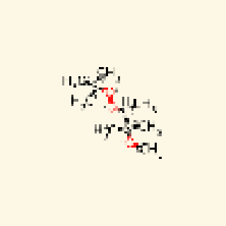 CO[Si](C)(C)[SiH](C)OO[Si](C)(C)C